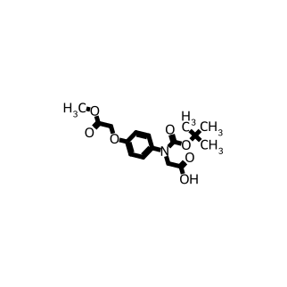 COC(=O)COc1ccc(N(CC(=O)O)C(=O)OC(C)(C)C)cc1